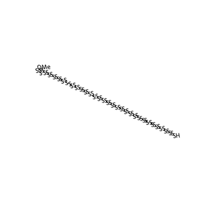 COS(=S)(=S)SSSSSSSSSSSSSSSSSSSSSSSSSSSSSSSSSSSSSSSSSSSSSSSSSSSSSSSSSSSS